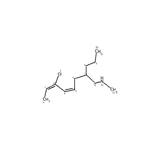 C/C=C(Cl)\C=C/CC(CCC)CNC